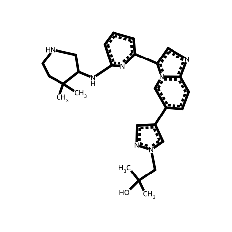 CC(C)(O)Cn1cc(-c2ccc3ncc(-c4cccc(NC5CNCCC5(C)C)n4)n3c2)cn1